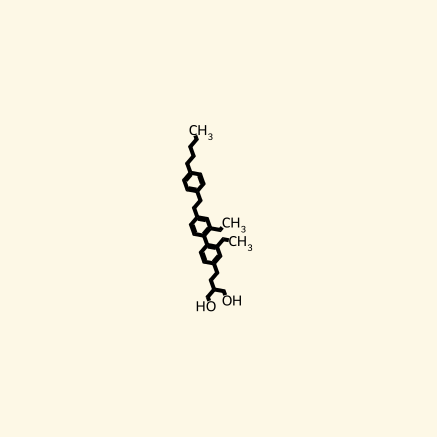 CCCCCc1ccc(CCc2ccc(-c3ccc(CCC(CO)CO)cc3CC)c(CC)c2)cc1